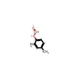 Cc1ccc(O[SH]=O)cc1.[KH]